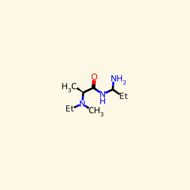 CCC(N)NC(=O)[C@H](C)N(C)CC